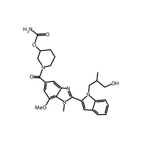 COc1cc(C(=O)N2CCCC(OC(N)=O)C2)cc2nc(-c3cc4ccccc4n3CC(C)CO)n(C)c12